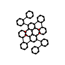 c1ccc(-c2ccccc2-c2cc(-c3ccccc3-c3ccccc3)c3ccc4c(-c5ccccc5-c5ccccc5)cc(-c5ccccc5-c5ccccc5)c5ccc2c3c54)cc1